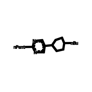 CCCCCc1ncc(C2CCC(CCCC)CC2)cn1